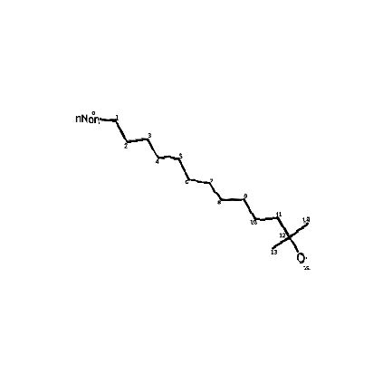 CCCCCCCCCCCCCCCCCCCCC(C)(C)[O]